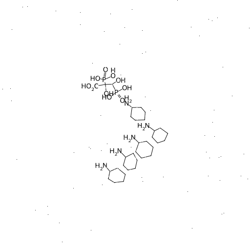 NC1CCCCC1.NC1CCCCC1.NC1CCCCC1.NC1CCCCC1.NC1CCCCC1.O=C(O)C(O)(C(O)P(=O)(O)O)P(=O)(O)O